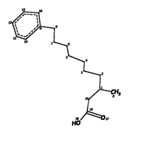 CC(CCCCCCCc1ccccc1)CC(=O)O